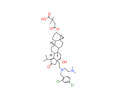 CC(C)C1=C2[C@H]3CC[C@@H]4[C@@]5(C)CC[C@H](OC(=O)CC(C)(C)C(=O)O)C6(C)C[C@]65CC[C@@]4(C)[C@]3(C)CC[C@@]2([C@H](O)CN(CCN(C)C)Cc2ccc(Cl)cc2Cl)CC1=O